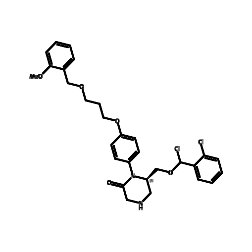 COc1ccccc1COCCCOc1ccc(N2C(=O)CNC[C@@H]2COC(Cl)c2ccccc2Cl)cc1